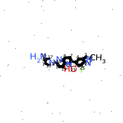 Cn1cc2cc(-c3ccc4nc(N5CC[C@@H](N)C5)ccc4n3)c(O)c(F)c2n1